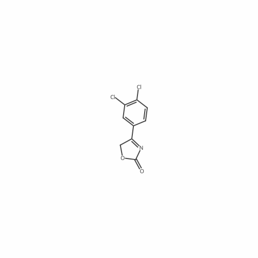 O=C1N=C(c2ccc(Cl)c(Cl)c2)CO1